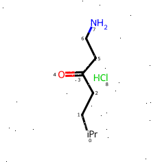 CC(C)CCC(=O)[CH]CN.Cl